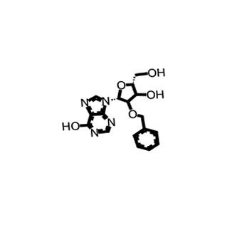 OC[C@H]1O[C@@H](n2cnc3c(O)ncnc32)C(OCc2ccccc2)C1O